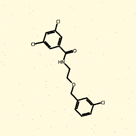 O=C(NCCOCc1cccc(Cl)c1)c1cc(Cl)cc(Cl)c1